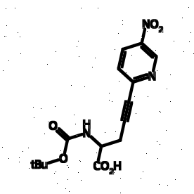 CC(C)(C)OC(=O)NC(CC#Cc1ccc([N+](=O)[O-])cn1)C(=O)O